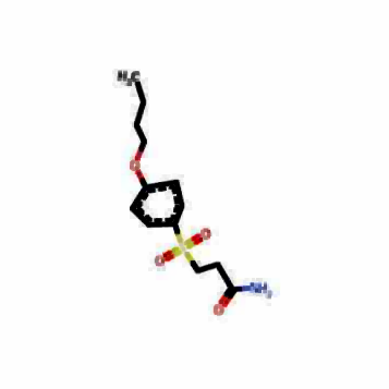 CCCCOc1ccc(S(=O)(=O)CCC(N)=O)cc1